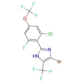 Fc1cc(OC(F)(F)F)cc(Cl)c1-c1nc(Br)c(C(F)(F)F)[nH]1